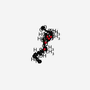 Cc1c(-c2ccc(N3CCc4cccc(C(=O)Nc5nc6ccccc6s5)c4C3)nc2C(=O)O)cnn1CC12CC3(C)CC(C)(C1)CC(OCCN(CCS(=O)(=O)O)C(=O)OCc1ccc(NC(=O)[C@H](C)NC(=O)[C@@H](NC(=O)CCCCCN4C(=O)C=CC4=O)C(C)C)cc1CC[C@@H]1O[C@H](C(=O)O)[C@H](O)[C@@H](O)[C@H]1O)(C3)C2